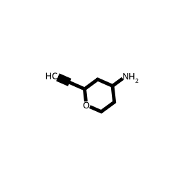 C#CC1CC(N)CCO1